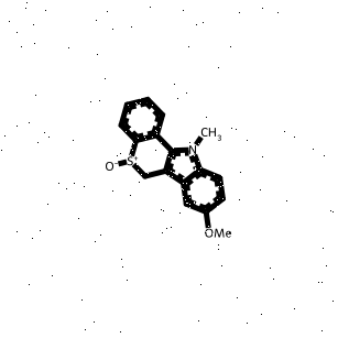 COc1ccc2c(c1)c1c(n2C)-c2ccccc2[S+]([O-])C1